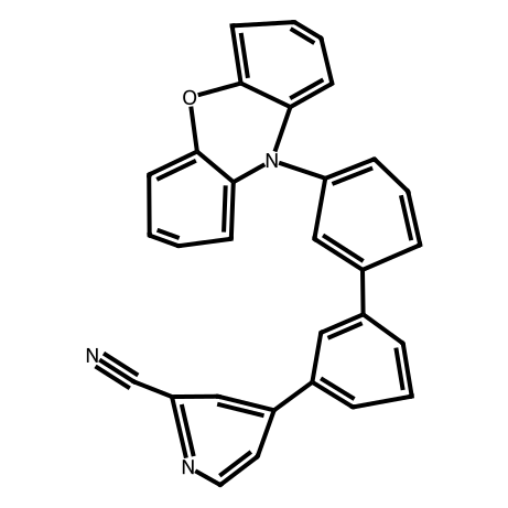 N#Cc1cc(-c2cccc(-c3cccc(N4c5ccccc5Oc5ccccc54)c3)c2)ccn1